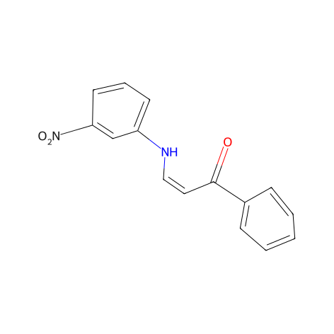 O=C(/C=C\Nc1cccc([N+](=O)[O-])c1)c1ccccc1